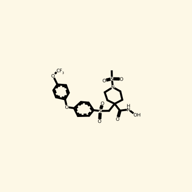 CS(=O)(=O)N1CCC(CS(=O)(=O)c2ccc(Oc3ccc(OC(F)(F)F)cc3)cc2)(C(=O)NO)CC1